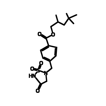 CC(COC(=O)c1ccc(CN2CC(=O)NS2(=O)=O)cc1)CC(C)(C)C